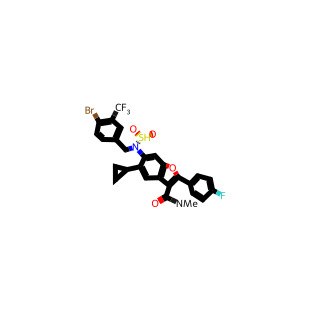 CNC(=O)c1c(-c2ccc(F)cc2)oc2cc(N(Cc3ccc(Br)c(C(F)(F)F)c3)[SH](=O)=O)c(C3CC3)cc12